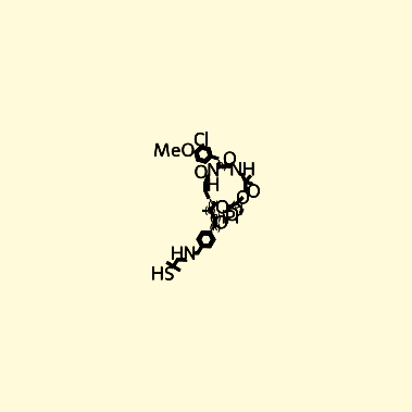 COc1ccc(C[C@H]2NC(=O)C=CC[C@@H]([C@H](C)[C@H]3O[C@@H]3c3ccc(CNCCC(C)(C)S)cc3)OC(=O)[C@H](CC(C)C)OC(=O)C(C)(C)CNC2=O)cc1Cl